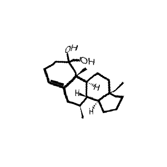 C[C@H]1CC2=CCCC(O)(O)[C@]2(C)[C@H]2CC[C@]3(C)CCC[C@H]3[C@H]12